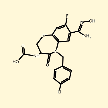 N/C(=N\O)c1cc2c(cc1F)SC[C@H](NC(=O)O)C(=O)N2Cc1ccc(Cl)cc1